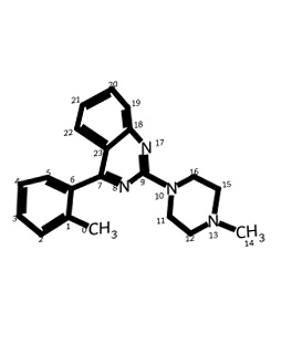 Cc1ccccc1-c1nc(N2CCN(C)CC2)nc2ccccc12